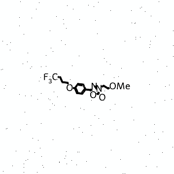 COCCn1nc(-c2ccc(OCCCC(F)(F)F)cc2)oc1=O